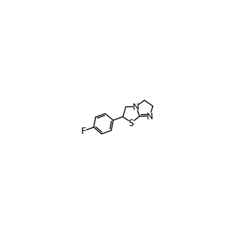 Fc1ccc(C2CN3CCN=C3S2)cc1